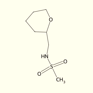 CS(=O)(=O)NCC1CCCCO1